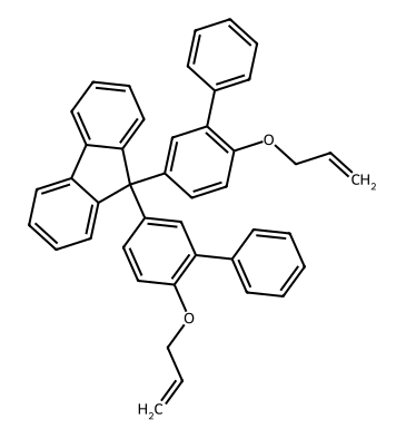 C=CCOc1ccc(C2(c3ccc(OCC=C)c(-c4ccccc4)c3)c3ccccc3-c3ccccc32)cc1-c1ccccc1